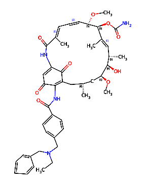 CCN(Cc1ccccc1)Cc1ccc(C(=O)NC2=C3C[C@@H](C)C[C@H](OC)[C@H](O)[C@@H](C)/C=C(\C)[C@H](OC(N)=O)[C@@H](OC)/C=C\C=C(/C)C(=O)NC(=CC2=O)C3=O)cc1